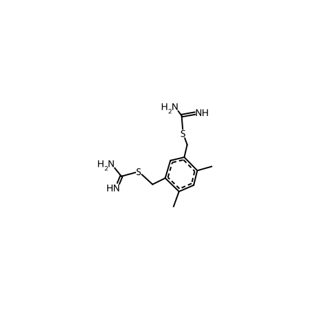 Cc1cc(C)c(CSC(=N)N)cc1CSC(=N)N